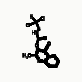 Cc1nc2ccccc2c(=O)n1OC(=O)NSC(F)(Cl)Cl